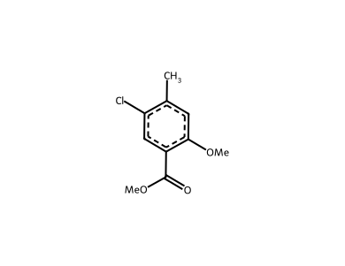 COC(=O)c1cc(Cl)c(C)cc1OC